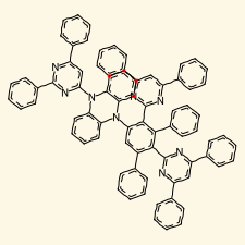 c1ccc(-c2cc(N3c4ccccc4N(c4cc(-c5ccccc5)c(-c5nc(-c6ccccc6)cc(-c6ccccc6)n5)c(-c5ccccc5)c4-c4nc(-c5ccccc5)cc(-c5ccccc5)n4)c4ccccc43)nc(-c3ccccc3)n2)cc1